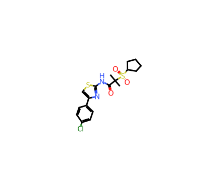 CC(C)(C(=O)Nc1nc(-c2ccc(Cl)cc2)cs1)S(=O)(=O)C1CCCC1